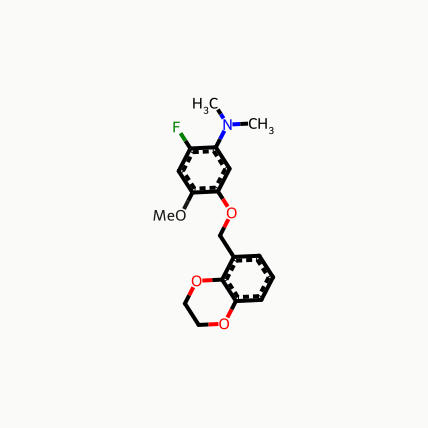 COc1cc(F)c(N(C)C)cc1OCc1cccc2c1OCCO2